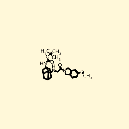 COc1ccc2c(c1)CN(C(=O)CNC13CC4CC(C1)CC(NC(=O)OC(C)(C)C)(C4)C3)C2